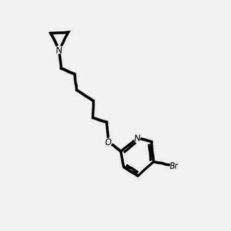 Brc1ccc(OCCCCCCN2CC2)nc1